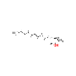 CCCCCCCCCC[C@H](CC)CO